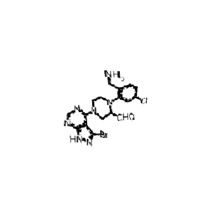 NCc1ccc(Cl)cc1N1CCN(c2ncnc3[nH]nc(Br)c23)CC1C=O